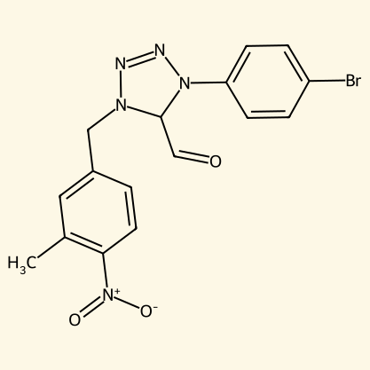 Cc1cc(CN2N=NN(c3ccc(Br)cc3)C2C=O)ccc1[N+](=O)[O-]